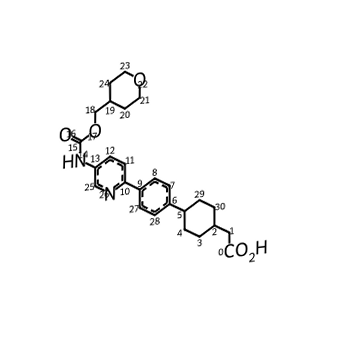 O=C(O)CC1CCC(c2ccc(-c3ccc(NC(=O)OCC4CCOCC4)cn3)cc2)CC1